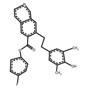 Cc1cc(CCc2cc3cnccc3cc2C(=O)Oc2ccc(F)cc2)cc(C)c1O